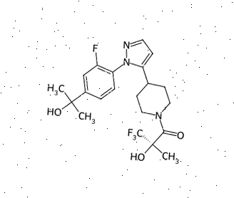 CC(C)(O)c1ccc(-n2nccc2C2CCN(C(=O)[C@@](C)(O)C(F)(F)F)CC2)c(F)c1